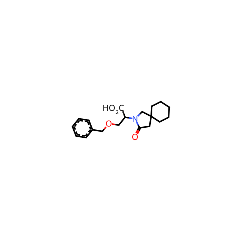 O=C(O)C(COCc1ccccc1)N1CC2(CCCCC2)CC1=O